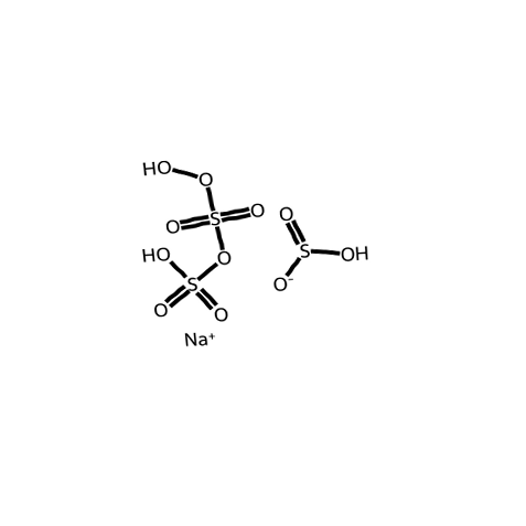 O=S(=O)(O)OS(=O)(=O)OO.O=S([O-])O.[Na+]